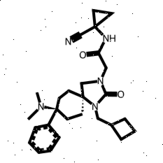 CN(C)[C@]1(c2ccccc2)CC[C@]2(CC1)CN(CC(=O)NC1(C#N)CC1)C(=O)N2CC1CCC1